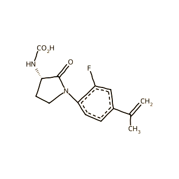 C=C(C)c1ccc(N2CC[C@H](NC(=O)O)C2=O)c(F)c1